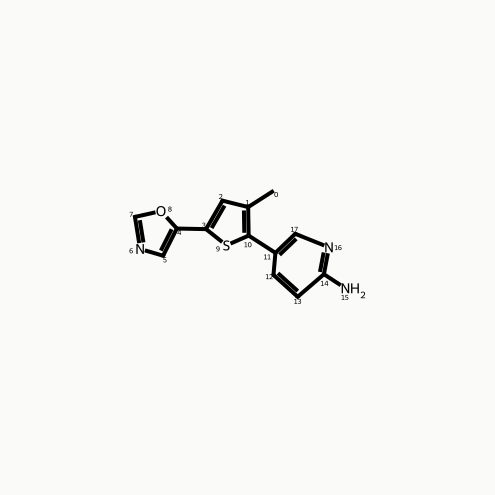 Cc1cc(-c2cnco2)sc1-c1ccc(N)nc1